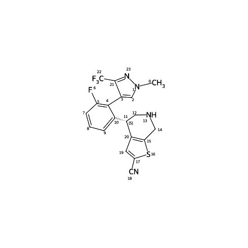 Cn1cc(-c2c(F)cccc2[C@@H]2CNCc3sc(C#N)cc32)c(C(F)(F)F)n1